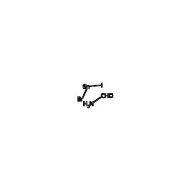 NC=O.[Br][Sn][I]